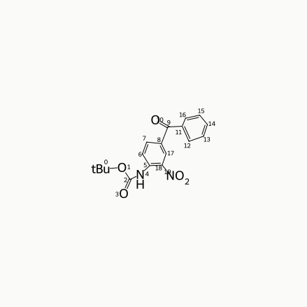 CC(C)(C)OC(=O)Nc1ccc(C(=O)c2ccccc2)cc1[N+](=O)[O-]